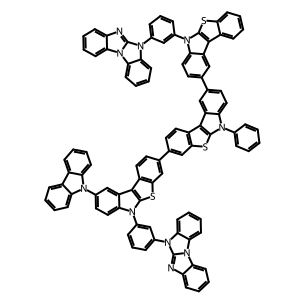 c1ccc(-n2c3ccc(-c4ccc5c(c4)c4c6ccccc6sc4n5-c4cccc(-n5c6ccccc6n6c7ccccc7nc56)c4)cc3c3c4ccc(-c5ccc6c(c5)sc5c6c6cc(-n7c8ccccc8c8ccccc87)ccc6n5-c5cccc(-n6c7ccccc7n7c8ccccc8nc67)c5)cc4sc32)cc1